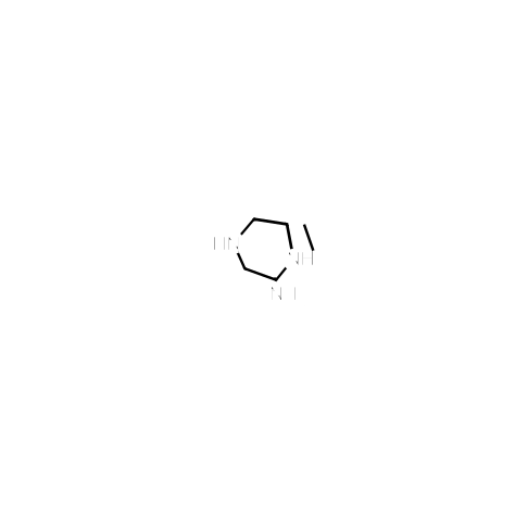 C1CNCCN1.CC.N